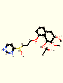 COc1cc2cccc(OCCC[S+]([O-])c3ccncn3)c2c(OC(C)=O)c1OC